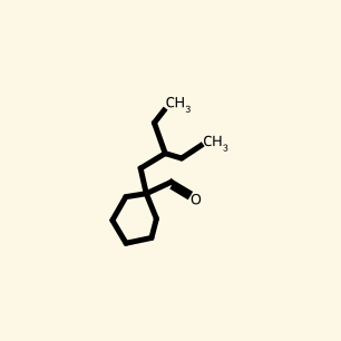 CCC(CC)CC1([C]=O)CCCCC1